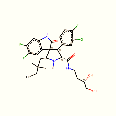 CC(C)CC(C)(C)C[C@H]1N(C)[C@@H](C(=O)NCC[C@H](O)CO)[C@H](c2ccc(F)c(Cl)c2)[C@@]12C(=O)Nc1cc(F)c(F)cc12